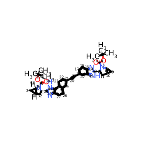 CC(C)(C)OC(=O)N1C2CC2C[C@H]1c1nc2ccc(C#Cc3ccc4c(ccc5nc([C@@H]6C[C@H]7C[C@H]7N6C(=O)OC(C)(C)C)[nH]c54)c3)cc2[nH]1